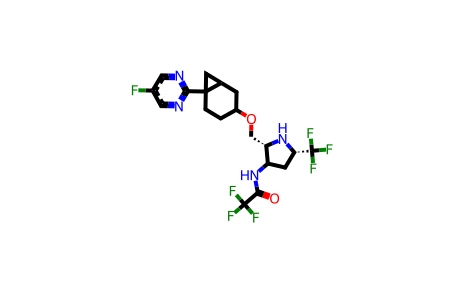 O=C(NC1C[C@@H](C(F)(F)F)N[C@H]1COC1CCC2(c3ncc(F)cn3)CC2C1)C(F)(F)F